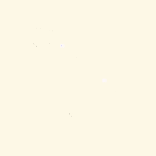 CC/C(=C(/c1ccc(/C=C/C(=O)NS(C)(=O)=O)cc1)c1ccc2scnc2c1)c1ccc(F)cc1Cl